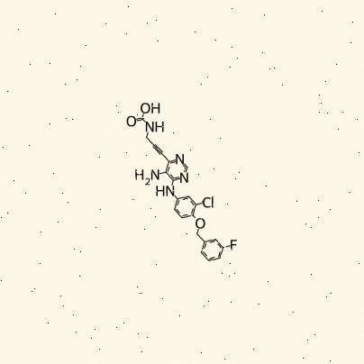 Nc1c(C#CCNC(=O)O)ncnc1Nc1ccc(OCc2cccc(F)c2)c(Cl)c1